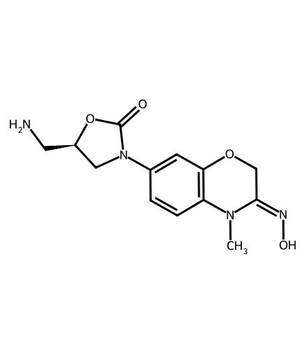 CN1C(=NO)COc2cc(N3C[C@@H](CN)OC3=O)ccc21